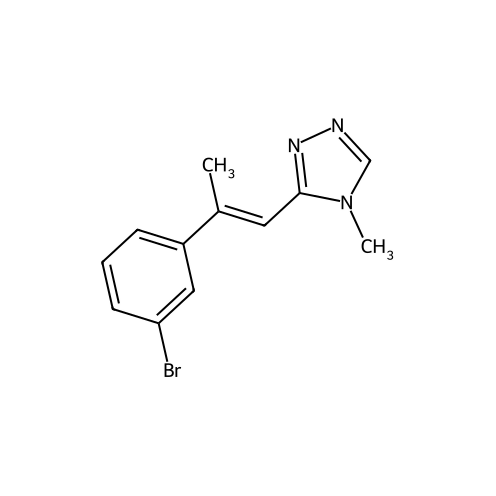 C/C(=C\c1nncn1C)c1cccc(Br)c1